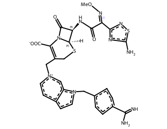 CO/N=C(\C(=O)N[C@@H]1C(=O)N2C(C(=O)[O-])=C(C[n+]3ccc4ccn(Cc5ccc(C(=N)N)cc5)c4c3)CS[C@H]12)c1nsc(N)n1